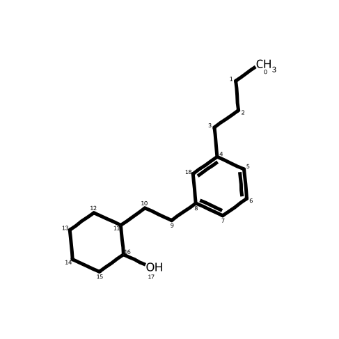 CCCCc1cccc(CCC2CCCCC2O)c1